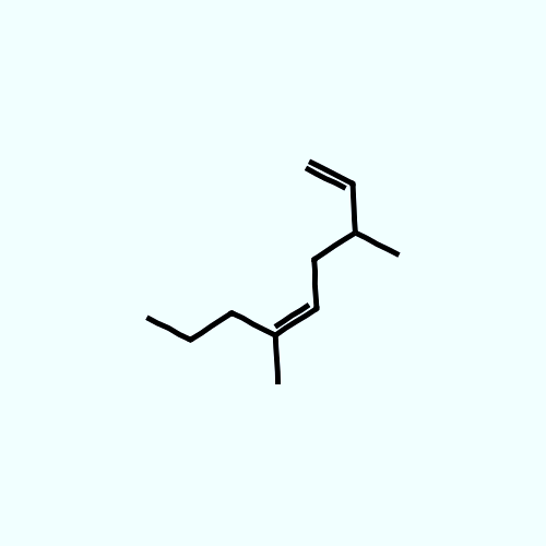 C=CC(C)CC=C(C)CCC